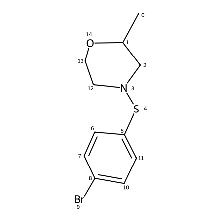 CC1CN(Sc2ccc(Br)cc2)CCO1